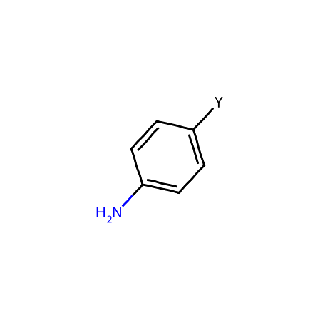 Nc1cc[c]([Y])cc1